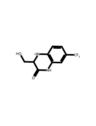 O=C1Nc2cc(C(F)(F)F)ccc2NC1CO